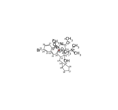 COc1cc(C(O)(CCN(C)C)C(CC2C3CCCC32)c2cc3cc(Br)ccc3nc2OC)cc(OC)n1